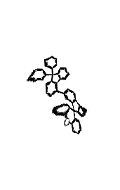 c1ccc(C2(c3ccccc3)c3ccccc3-c3c(-c4ccc5c(c4)C4(c6ccccc6Oc6ccccc64)c4ccccc4-5)cccc32)cc1